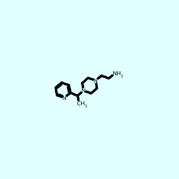 CC(c1ccccn1)N1CCN(CCN)CC1